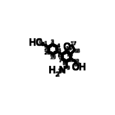 C#Cc1ccc(-c2cc(CN)c(CO)c3c2OCC3)cc1